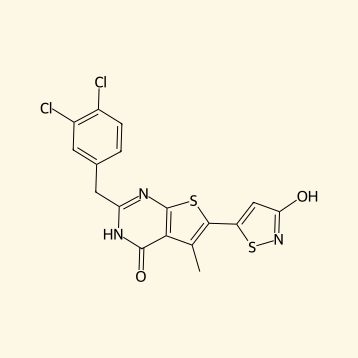 Cc1c(-c2cc(O)ns2)sc2nc(Cc3ccc(Cl)c(Cl)c3)[nH]c(=O)c12